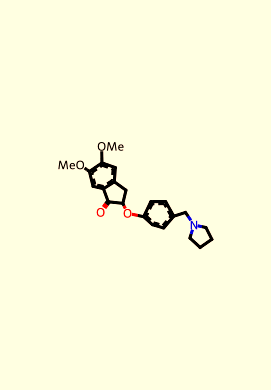 COc1cc2c(cc1OC)C(=O)C(Oc1ccc(CN3CCCC3)cc1)C2